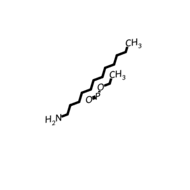 CCCCCCCCCCCCN.CCOP=O